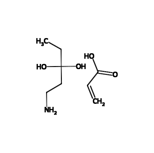 C=CC(=O)O.CCC(O)(O)CCN